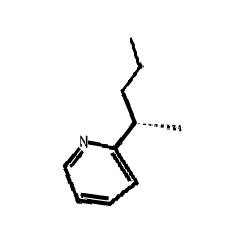 CCC[C@H](C)c1ccccn1